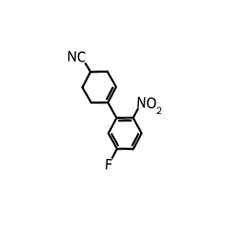 N#CC1CC=C(c2cc(F)ccc2[N+](=O)[O-])CC1